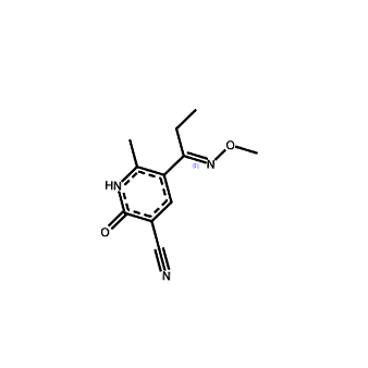 CC/C(=N\OC)c1cc(C#N)c(=O)[nH]c1C